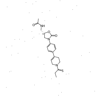 CCC(=S)N1CC=C(c2ccc(N3C[C@H](CNC(C)=O)OC3=O)cc2)CC1